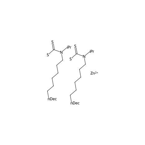 CCCCCCCCCCCCCCCCN(C(=S)[S-])C(C)C.CCCCCCCCCCCCCCCCN(C(=S)[S-])C(C)C.[Zn+2]